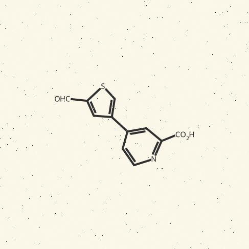 O=Cc1cc(-c2ccnc(C(=O)O)c2)cs1